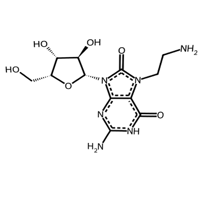 NCCn1c(=O)n([C@@H]2O[C@H](CO)[C@H](O)[C@H]2O)c2nc(N)[nH]c(=O)c21